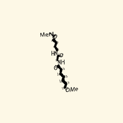 CNOCCCCNC(=O)CNC(=O)CCCCCCOC